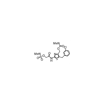 CNC(=O)OCc1nc(NC(=O)COS(=O)(=O)NC)sc1Cc1cccc(Cl)c1